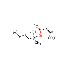 CC(C)CCC[Si](C)(C)OC(=O)/C=C\C(=O)O